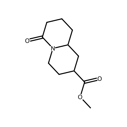 COC(=O)C1CCN2C(=O)CCCC2C1